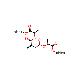 C=C(CC(=O)OC(C)C(=O)OCCCCCC)C(=O)OC(C)C(=O)OCCCCCC